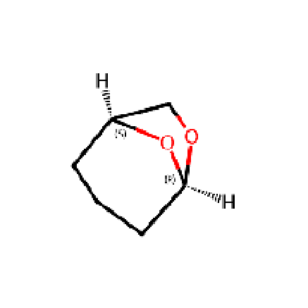 C1C[C@H]2CO[C@@H](C1)O2